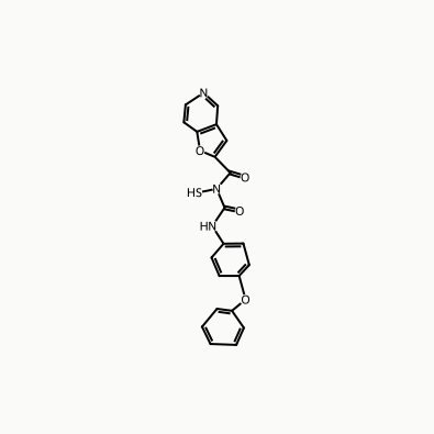 O=C(Nc1ccc(Oc2ccccc2)cc1)N(S)C(=O)c1cc2cnccc2o1